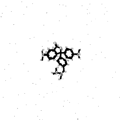 CN(C)c1ccc(C2(c3ccc(CN(C)N(C)C)cc3)OC(=O)c3cc(N(C)C)ccc32)cc1